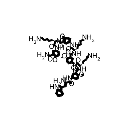 COc1ccc(NC(=O)[C@H](CCCCCN)NC(=O)c2cc(NC(=O)[C@H](CCCCCN)NC(=O)c3cc(NC(=O)[C@H](CCCCN)NC(=O)c4cc(NC(=O)[C@@H](N)Cc5c[nH]c6ccccc56)ccc4OC)ccc3OC)ccc2OC)cc1C(N)=O